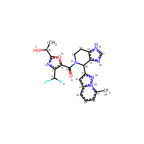 C[C@H](O)c1nc(C(F)F)c(C(=O)N2CCc3[nH]cnc3C2c2cc3cccc(C(F)(F)F)n3n2)o1